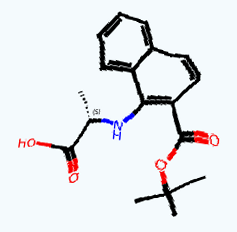 C[C@H](Nc1c(C(=O)OC(C)(C)C)ccc2ccccc12)C(=O)O